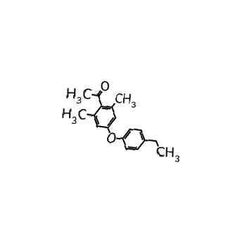 CCc1ccc(Oc2cc(C)c(C(C)=O)c(C)c2)cc1